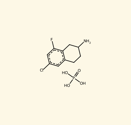 NC1CCc2cc(Cl)cc(F)c2C1.O=P(O)(O)O